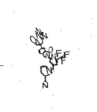 Cn1cnnc1CC1(c2ccc3c(c2)C(=O)N(c2cc(CN4CCCC(C#N)C4)cc(C(F)(F)F)n2)C3)COC1